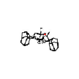 CCC1(OC(=O)COC23CC4CC(C2)C(OCC(F)(F)S(=O)(=O)O)C(C4)C3)C2CC3CC(C2)CC1C3